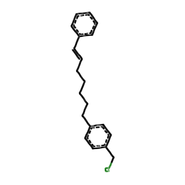 ClCc1ccc(CCCCCC=Cc2ccccc2)cc1